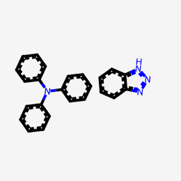 c1ccc(N(c2ccccc2)c2ccccc2)cc1.c1ccc2[nH]nnc2c1